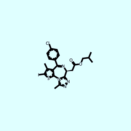 Cc1c(I)sc2c1C(c1ccc(Cl)cc1)=N[C@@H](CC(=O)OCC(C)C)c1nnc(C)n1-2